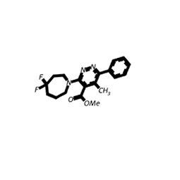 COC(=O)c1c(N2CCCC(F)(F)CC2)nnc(-c2ccccc2)c1C